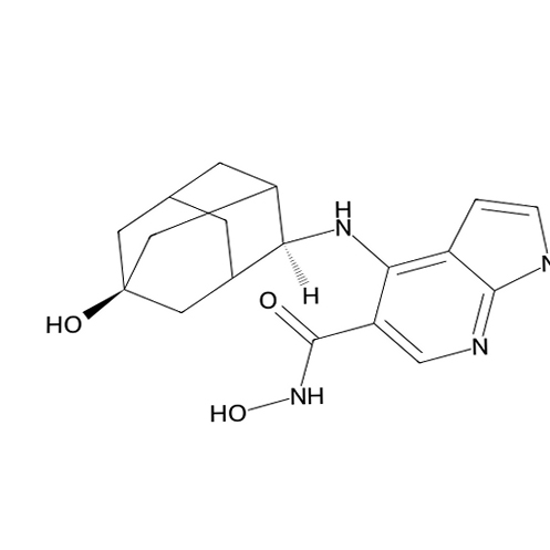 O=C(NO)c1cnc2[nH]ccc2c1N[C@H]1C2CC3CC1C[C@@](O)(C3)C2